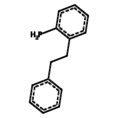 Pc1ccccc1CCc1ccccc1